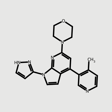 Cc1ccncc1-c1cc(N2CCOCC2)nc2c1ccn2-c1cc[nH]n1